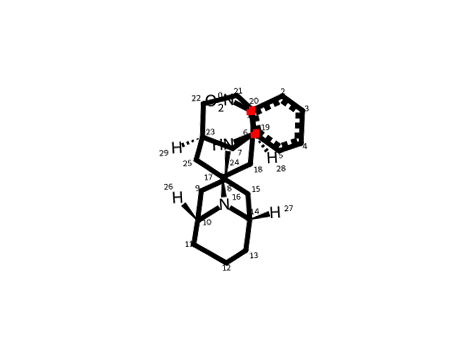 O=[N+]([O-])c1ccccc1N[C@@H]1C[C@H]2CCC[C@@H](C1)N2[C@@H]1C[C@@H]2CCC[C@@H](C2)C1